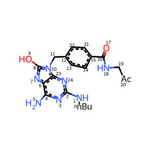 CCCCNc1nc(N)c2nc(O)n(Cc3ccc(C(=O)NCC(C)=O)cc3)c2n1